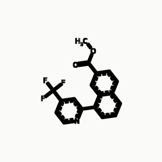 COC(=O)c1ccc2cccc(-c3cc(C(F)(F)F)ccn3)c2c1